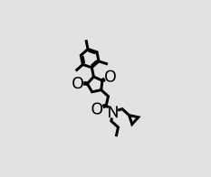 CCCN(CC1CC1)C(=O)CC1CC(=O)C(c2c(C)cc(C)cc2C)C1=O